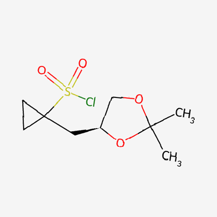 CC1(C)OC[C@H](CC2(S(=O)(=O)Cl)CC2)O1